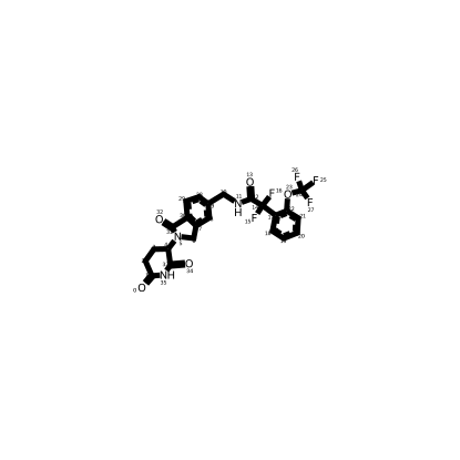 O=C1CCC(N2Cc3cc(CNC(=O)C(F)(F)c4ccccc4OC(F)(F)F)ccc3C2=O)C(=O)N1